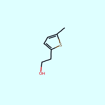 Cc1ccc(CCO)s1